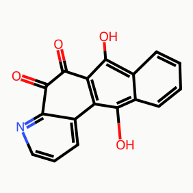 O=C1C(=O)c2c(c(O)c3ccccc3c2O)-c2cccnc21